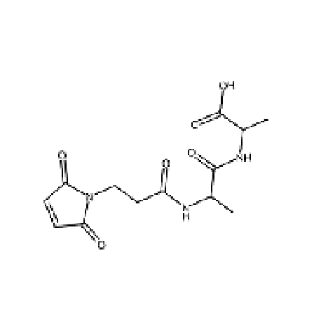 CC(NC(=O)C(C)NC(=O)CCN1C(=O)C=CC1=O)C(=O)O